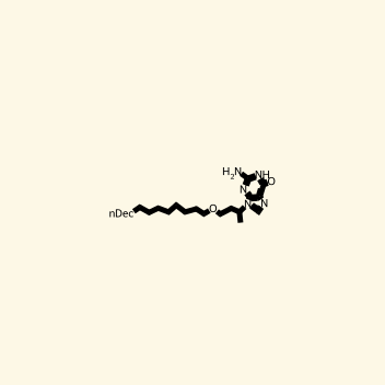 CCCCCCCCCCCCCCCCCCOCC[C](C)n1cnc2c(=O)[nH]c(N)nc21